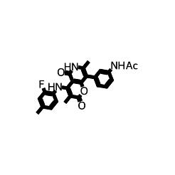 CC(=O)Nc1cccc(-c2c(C)[nH]c(=O)c3c(Nc4ccc(C)cc4F)c(C)c(=O)oc23)c1